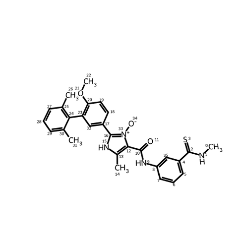 CNC(=S)c1cccc(NC(=O)c2c(C)[nH]c(-c3ccc(OC)c(-c4c(C)cccc4C)c3)[n+]2[O-])c1